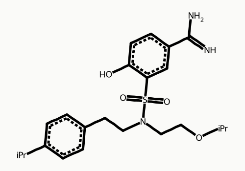 CC(C)OCCN(CCc1ccc(C(C)C)cc1)S(=O)(=O)c1cc(C(=N)N)ccc1O